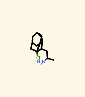 CC(N)CC1C2CC3CC(C2)CC1(Cl)C3